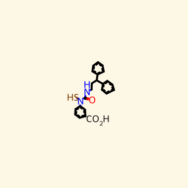 O=C(O)c1cccc(N(S)C(=O)NCCC(c2ccccc2)c2ccccc2)c1